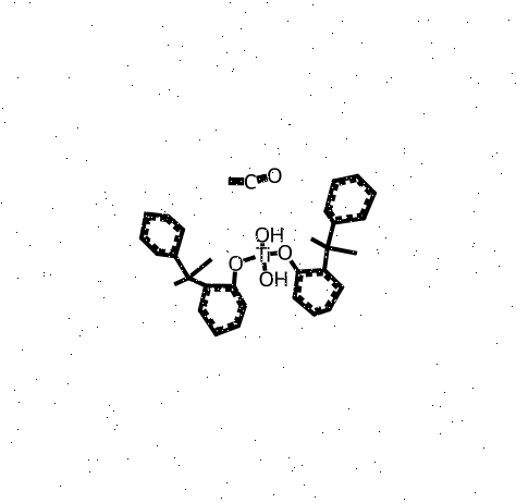 C=C=O.CC(C)(c1ccccc1)c1ccccc1[O][Ti]([OH])([OH])[O]c1ccccc1C(C)(C)c1ccccc1